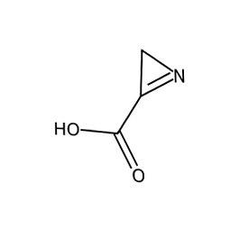 O=C(O)C1=NC1